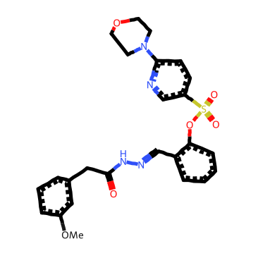 COc1cccc(CC(=O)NN=Cc2ccccc2OS(=O)(=O)c2ccc(N3CCOCC3)nc2)c1